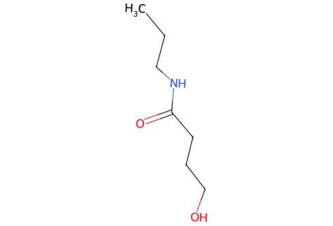 CCCNC(=O)CCCO